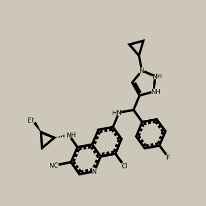 CC[C@@H]1C[C@H]1Nc1c(C#N)cnc2c(Cl)cc(NC(C3=CN(C4CC4)NN3)c3ccc(F)cc3)cc12